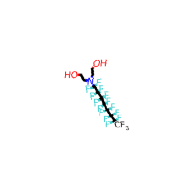 OCCN(CCO)C(F)(F)C(F)(F)C(F)(F)C(F)(F)C(F)(F)C(F)(F)C(F)(F)C(F)(F)F